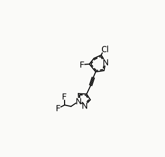 Fc1cc(Cl)ncc1C#Cc1cnn(CC(F)F)c1